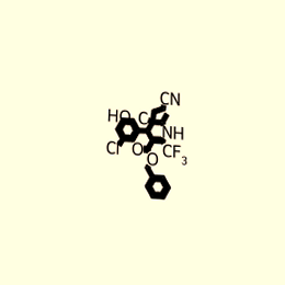 CC1NC(C(F)(F)F)=C(C(=O)OCc2ccccc2)C(c2cccc(Cl)c2)C1(CCC#N)C(=O)O